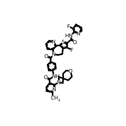 Cc1ccc(C(=O)Nc2ccc(C(=O)N3CCc4c(sc(C(=O)Nc5ncccc5F)c4F)-c4ncccc43)cc2)c(N2CC3(CCOCC3)C2)n1